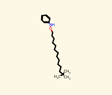 CC(C)(C)CCCCCCCCCCCCONc1ccccc1